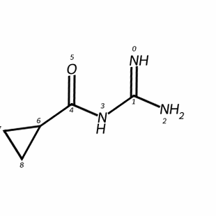 N=C(N)NC(=O)C1CC1